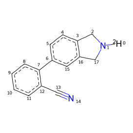 [2H]N1Cc2ccc(-c3ccccc3C#N)cc2C1